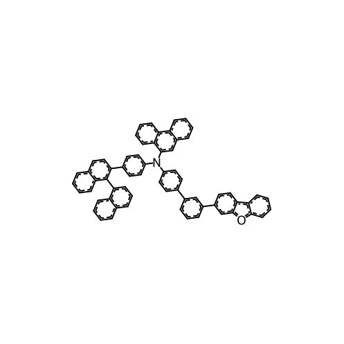 c1cc(-c2ccc(N(c3ccc(-c4ccc5ccccc5c4-c4cccc5ccccc45)cc3)c3cc4ccccc4c4ccccc34)cc2)cc(-c2ccc3c(c2)oc2ccccc23)c1